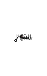 CC(C)(CC#Cc1ccccc1)C(CS(=O)(=O)N1CCN(c2ccc(Br)cn2)CC1)NC(=O)O